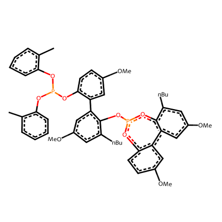 CCCCc1cc(OC)cc(-c2cc(OC)ccc2OP(Oc2ccccc2C)Oc2ccccc2C)c1Op1oc2ccc(OC)cc2c2cc(OC)cc(CCCC)c2o1